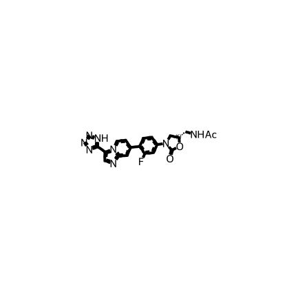 CC(=O)NC[C@H]1CN(c2ccc(-c3ccn4c(-c5nnn[nH]5)cnc4c3)c(F)c2)C(=O)O1